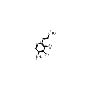 CCc1c(N)ccc(C=CC=O)c1CC